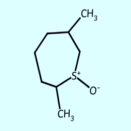 CC1CCCC(C)[S+]([O-])C1